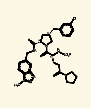 Cn1nnc2cc(CNC(=O)[C@@H]3C[C@H](Cc4cccc(Cl)c4)CN3C(=O)[C@@H](CCC(=O)N3CCCC3)NC(=O)O)ccc21